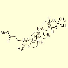 COC(=O)CCC[C@@H](C)[C@H]1CC[C@H]2[C@@H]3CCC4[C@H]5OC(C)(C)O[C@H]5CC[C@]4(C)[C@H]3CC[C@]12C